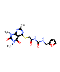 Cn1c(=O)c2c(SCC(=O)NC(=O)NCc3ccco3)nc(C(C)(C)C)nc2n(C)c1=O